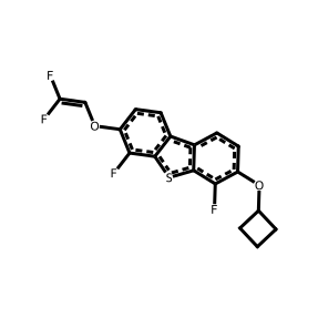 FC(F)=COc1ccc2c(sc3c(F)c(OC4CCC4)ccc32)c1F